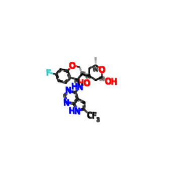 C[C@H]1C[C@](O)([C@H]2COc3cc(F)ccc3[C@@H]2Nc2ncnc3[nH]c(C(F)(F)F)cc23)C[C@@H](O)O1